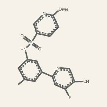 COc1ccc(S(=O)(=O)Nc2cc(C)cc(-c3cc(F)c(C#N)cn3)c2)cn1